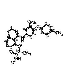 CCNC(=O)[C@@H](C)Oc1cccc2ncnc(Nc3ccc(Oc4ccc(C)nc4)c(OC)c3)c12